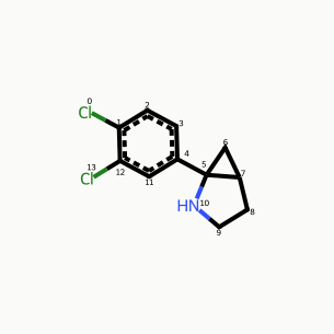 Clc1ccc(C23CC2CCN3)cc1Cl